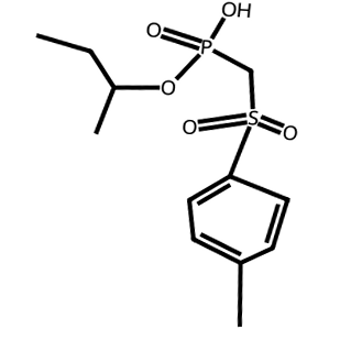 CCC(C)OP(=O)(O)CS(=O)(=O)c1ccc(C)cc1